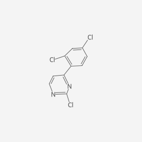 Clc1ccc(-c2ccnc(Cl)n2)c(Cl)c1